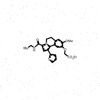 CCOC(=O)COc1cc2c(cc1OC)CCn1c(C(=O)NCC(C)(C)C)cc(-c3cccs3)c1-2